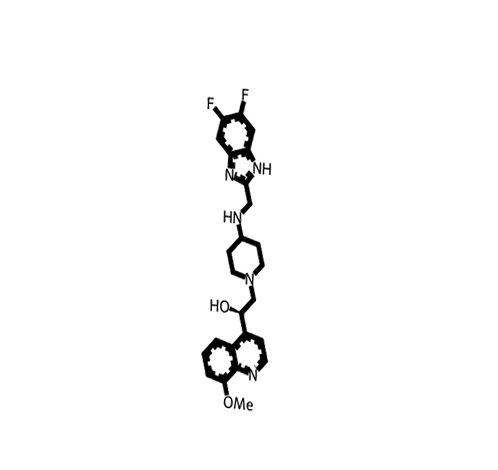 COc1cccc2c([C@@H](O)CN3CCC(NCc4nc5cc(F)c(F)cc5[nH]4)CC3)ccnc12